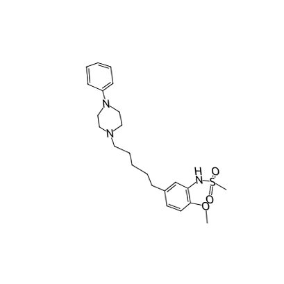 COc1ccc(CCCCCN2CCN(c3ccccc3)CC2)cc1NS(C)(=O)=O